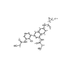 CCc1c(NC(=O)OC(C)(C)C)cncc1-c1cc(NC(=O)OC(C)(C)C)c2cnc(NC(=O)[C@@H]3C[C@@H]3F)cc2c1